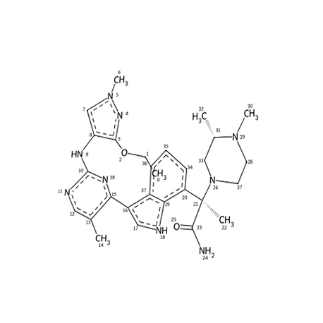 CCOc1nn(C)cc1Nc1ncc(C)c(-c2c[nH]c3c([C@](C)(C(N)=O)N4CCN(C)[C@@H](C)C4)cccc23)n1